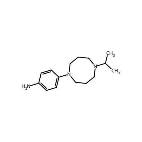 CC(C)N1CCCN(c2ccc(N)cc2)CCC1